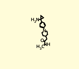 CNC(=O)CC1CCN(c2ccc(C3(N)CC3)cc2)CC1